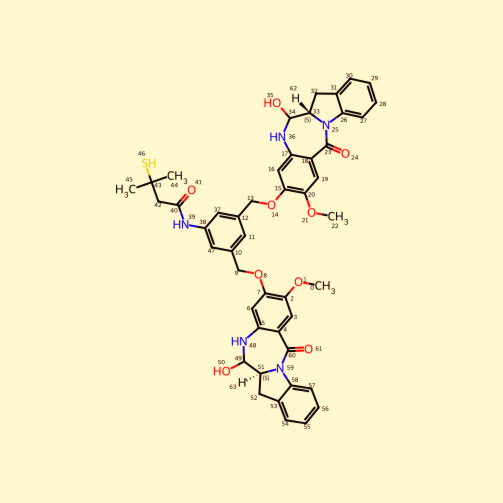 COc1cc2c(cc1OCc1cc(COc3cc4c(cc3OC)C(=O)N3c5ccccc5C[C@H]3C(O)N4)cc(NC(=O)CC(C)(C)S)c1)NC(O)[C@@H]1Cc3ccccc3N1C2=O